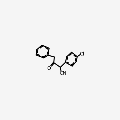 N#CC(C(=O)Cc1ccccc1)c1ccc(Cl)cc1